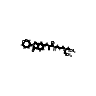 CCN(CC)CCCNC(=O)NCc1ccc2c(c1)CN(C1CCCOOC1)C2=O